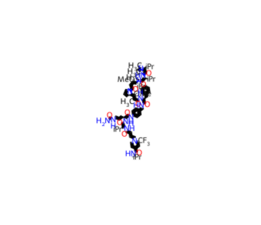 CC[C@H](C)[C@@H]([C@@H](CC(=O)N1CCC[C@H]1[C@H](OC)[C@@H](C)C(=O)N[C@@H](Cc1ccccc1)C(=O)NCc1ccc(NC(=O)[C@H](CCCNC(N)=O)NC(=O)[C@@H](NC(=O)CCCN2CCC(C(=O)NC(C)C)CC2C(F)(F)F)C(C)C)cc1)OC)N(C)C(=O)[C@@H](NC(=O)[C@H](C(C)C)N(C)C)C(C)C